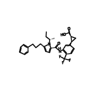 CC[C@H](C)n1c(CCCc2ccccc2)ccc1C(=O)Nc1cc([C@@H]2C[C@@H]2C(=O)O)ccc1C(F)(F)F